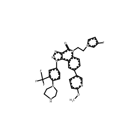 COc1ccc(-c2ccc3c(c2)c2c(nnn2-c2ccc(N4CCNCC4)c(C(F)(F)F)c2)c(=O)n3CCn2ccc(F)c2)cn1